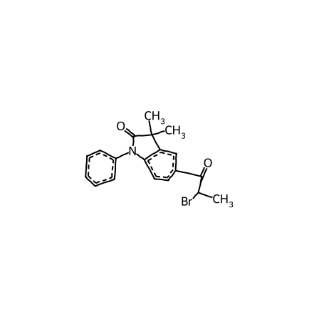 CC(Br)C(=O)c1ccc2c(c1)C(C)(C)C(=O)N2c1ccccc1